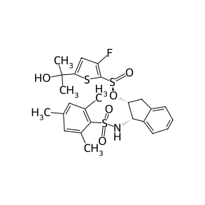 Cc1cc(C)c(S(=O)(=O)N[C@H]2c3ccccc3C[C@H]2O[S@](=O)c2sc(C(C)(C)O)cc2F)c(C)c1